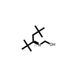 CC(C)(C)C/C(=N\CO)C(C)(C)C